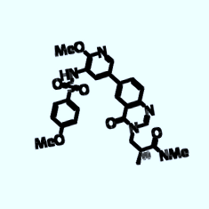 CNC(=O)[C@@H](C)Cn1cnc2ccc(-c3cnc(OC)c(NS(=O)(=O)c4ccc(OC)cc4)c3)cc2c1=O